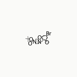 COc1cc(Br)cc(OC)c1CN1CCN(C(=O)OC(C)(C)C)CC1